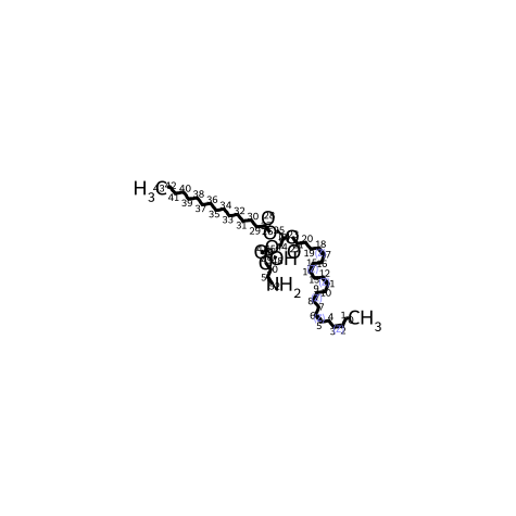 CC/C=C\C/C=C\C/C=C\C/C=C\C/C=C\C/C=C\CCC(=O)O[C@H](COC(=O)CCCCCCCCCCCCCCC)COP(=O)(O)OCCN